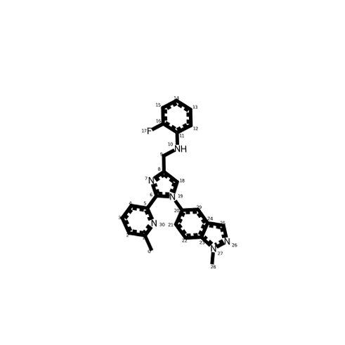 Cc1cccc(-c2nc(CNc3ccccc3F)cn2-c2ccc3c(cnn3C)c2)n1